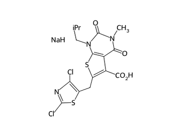 CC(C)Cn1c(=O)n(C)c(=O)c2c(C(=O)O)c(Cc3sc(Cl)nc3Cl)sc21.[NaH]